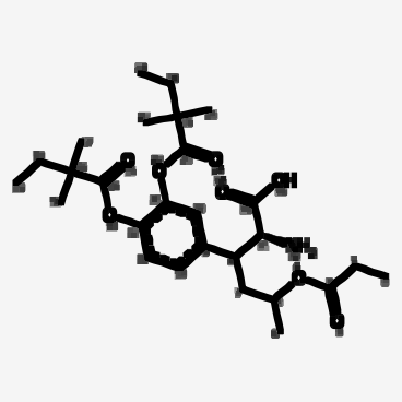 CCC(=O)OC(C)CC(c1ccc(OC(=O)C(C)(C)CC)c(OC(=O)C(C)(C)CC)c1)[C@H](N)C(=O)O